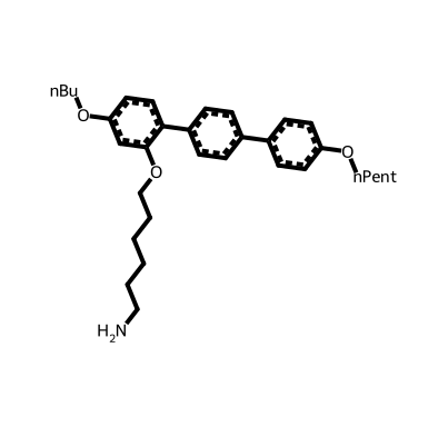 CCCCCOc1ccc(-c2ccc(-c3ccc(OCCCC)cc3OCCCCCCN)cc2)cc1